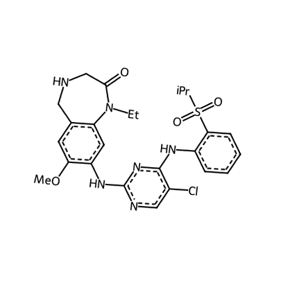 CCN1C(=O)CNCc2cc(OC)c(Nc3ncc(Cl)c(Nc4ccccc4S(=O)(=O)C(C)C)n3)cc21